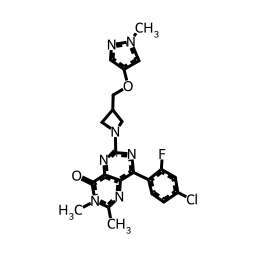 Cc1nc2c(-c3ccc(Cl)cc3F)nc(N3CC(COc4cnn(C)c4)C3)nc2c(=O)n1C